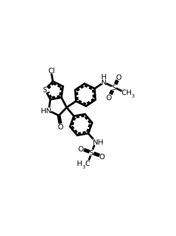 CS(=O)(=O)Nc1ccc(C2(c3ccc(NS(C)(=O)=O)cc3)C(=O)Nc3sc(Cl)cc32)cc1